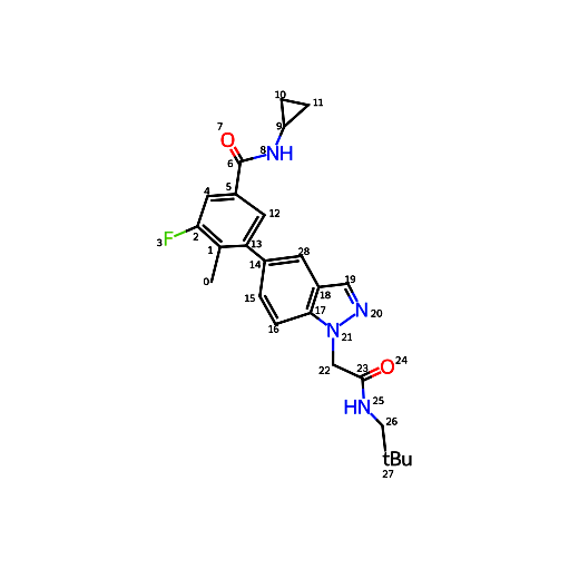 Cc1c(F)cc(C(=O)NC2CC2)cc1-c1ccc2c(cnn2CC(=O)NCC(C)(C)C)c1